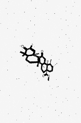 COC(=O)[C@]12CC[C@@H](C)[C@H](C)[C@H]1C1=CC(=O)C3[C@@]4(C)C=C(I)C(=O)C(C)(C)C4CC[C@@]3(C)[C@]1(C)CC2